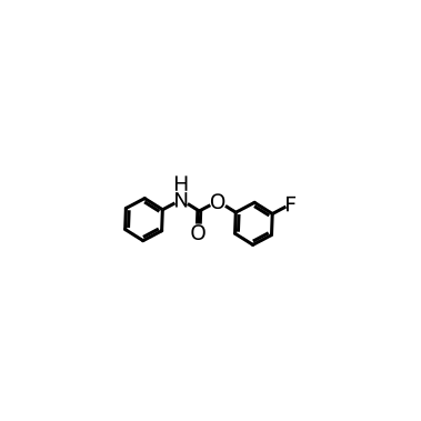 O=C(Nc1ccccc1)Oc1cccc(F)c1